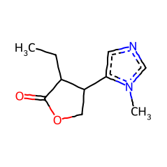 CCC1C(=O)OCC1c1cncn1C